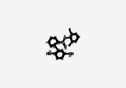 Cc1cccc(C)c1O[PH](=O)c1ccccc1-c1cc(O)ccc1O